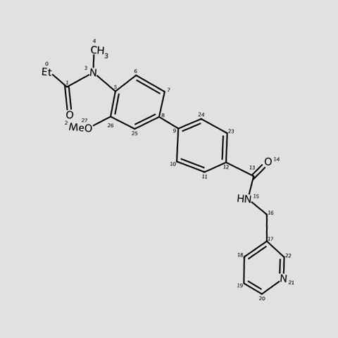 CCC(=O)N(C)c1ccc(-c2ccc(C(=O)NCc3cccnc3)cc2)cc1OC